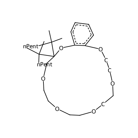 CCCCCC(C)(C)C1(C(C)(C)CCCCC)COCCOCCOCCOCCOc2ccccc2O1